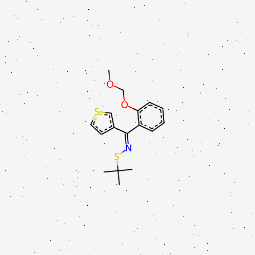 COCOc1ccccc1C(=NSC(C)(C)C)c1ccsc1